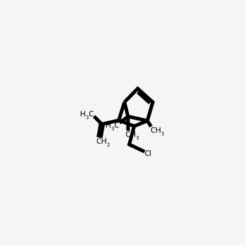 C=C(C)C1C2C=CC(C)(C1CCl)C2(C)C